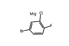 Fc1ccc(Br)cc1Cl.[Mg]